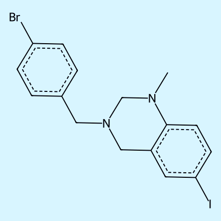 CN1CN(Cc2ccc(Br)cc2)Cc2cc(I)ccc21